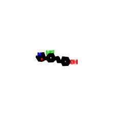 Cl.Oc1ccc(C=Cc2ccc([C]3[CH]N4CCC3CC4)cc2)cc1